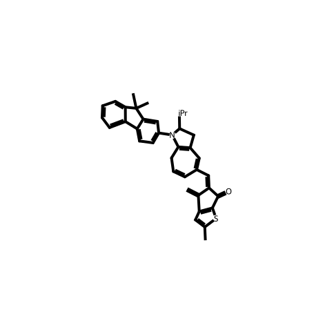 C=C1/C(=C\C2=CC3=C(CC=C2)N(c2ccc4c(c2)C(C)(C)c2ccccc2-4)C(C(C)C)C3)C(=O)c2sc(C)cc21